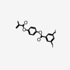 C=C(C)C(=O)Oc1ccc(OC(=O)c2cc(I)cc(I)c2)cc1